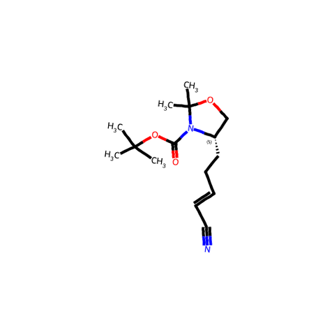 CC(C)(C)OC(=O)N1[C@@H](CCC=CC#N)COC1(C)C